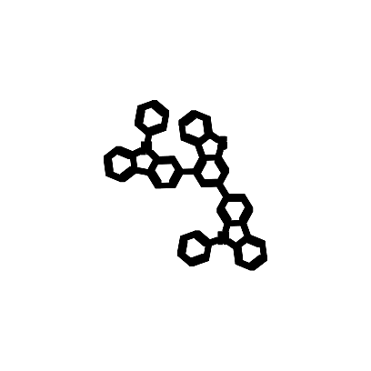 c1ccc(-n2c3ccccc3c3ccc(-c4cc(-c5ccc6c7ccccc7n(-c7ccccc7)c6c5)c5c(c4)sc4ccccc45)cc32)cc1